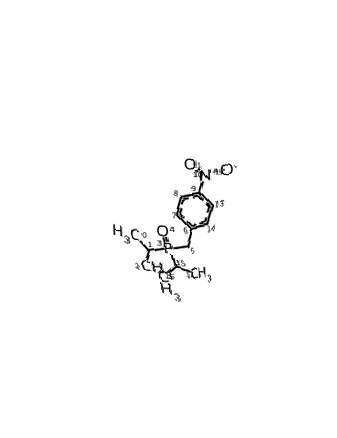 CC(C)P(=O)(Cc1ccc([N+](=O)[O-])cc1)C(C)C